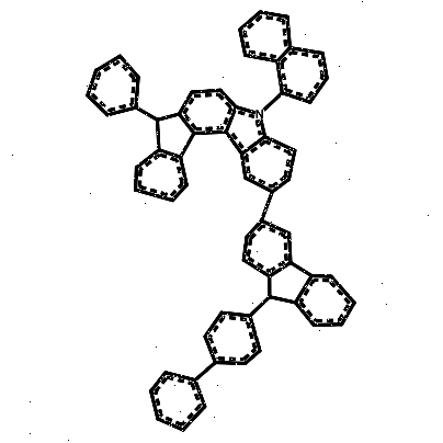 c1ccc(-c2ccc(C3c4ccccc4-c4cc(-c5ccc6c(c5)c5c7c(ccc5n6-c5cccc6ccccc56)C(c5ccccc5)c5ccccc5-7)ccc43)cc2)cc1